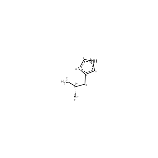 CC(=O)[C@H](C)Cc1c[nH]cn1